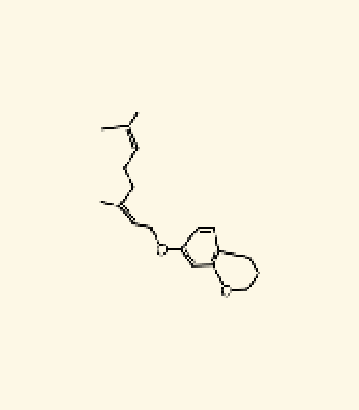 CC(C)=CCCC(C)=CCOc1ccc2c(c1)OCCC2